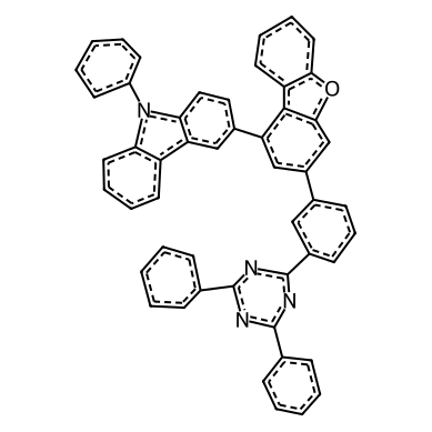 c1ccc(-c2nc(-c3ccccc3)nc(-c3cccc(-c4cc(-c5ccc6c(c5)c5ccccc5n6-c5ccccc5)c5c(c4)oc4ccccc45)c3)n2)cc1